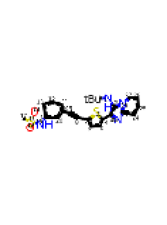 CC(C)(C)Nc1c(-c2ccc(C#Cc3cccc(NS(C)(=O)=O)c3)s2)nc2ccccn12